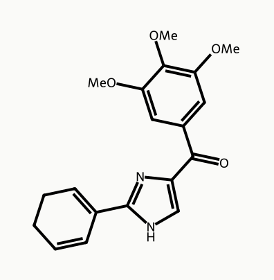 COc1cc(C(=O)c2c[nH]c(C3=CCCC=C3)n2)cc(OC)c1OC